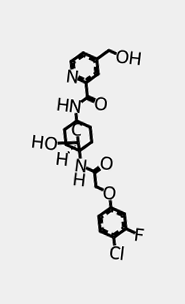 O=C(COc1ccc(Cl)c(F)c1)NC12CCC(NC(=O)c3cc(CO)ccn3)(CC1)C[C@@H]2O